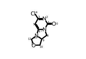 O=c1nc(Cl)cc2n1CC1COCN21